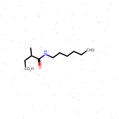 CC(CC(=O)O)C(=O)NCCCCCC=O